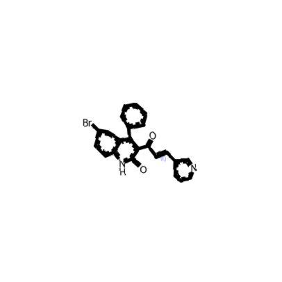 O=C(/C=C/c1cccnc1)c1c(-c2ccccc2)c2cc(Br)ccc2[nH]c1=O